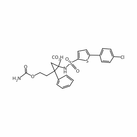 NC(=O)OCCC1(c2ccccc2)CC1(NS(=O)(=O)c1ccc(-c2ccc(Cl)cc2)s1)C(=O)O